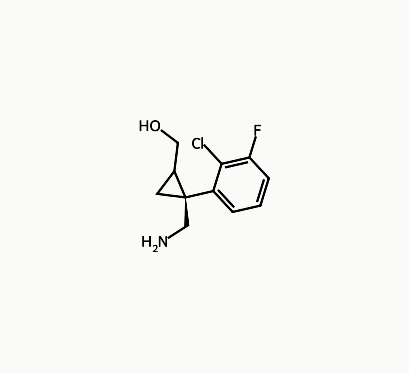 NC[C@@]1(c2cccc(F)c2Cl)CC1CO